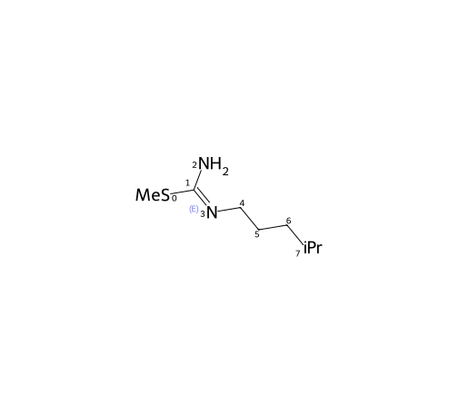 CS/C(N)=N/CCCC(C)C